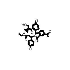 CCOC(=O)CC(c1ccc(Cl)cc1)N1C(=O)c2cc(C(C)=O)ccc2[C@]1(OCC1(CO)CC1)c1ccc(Cl)cc1